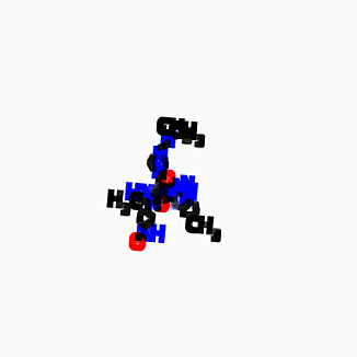 CCN(CC)CCN1CCCN(C(=O)C[C@H](NC(=O)/C=C/c2cc(C)ccc2-n2cnnn2)c2nc(-c3ccc(NC=O)cc3)c(C)[nH]2)CC1